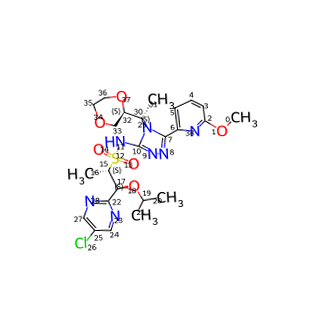 COc1cccc(-c2nnc(NS(=O)(=O)[C@@H](C)[C@@H](OC(C)C)c3ncc(Cl)cn3)n2[C@@H](C)[C@H]2COCCO2)n1